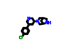 Clc1ccc(C2=CC(N3CC4CNC(C4)C3)CN=C2)cc1